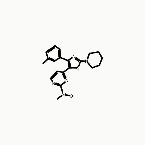 Cc1cccc(-c2nc(N3CCCCC3)sc2-c2ccnc([S+](C)[O-])n2)c1